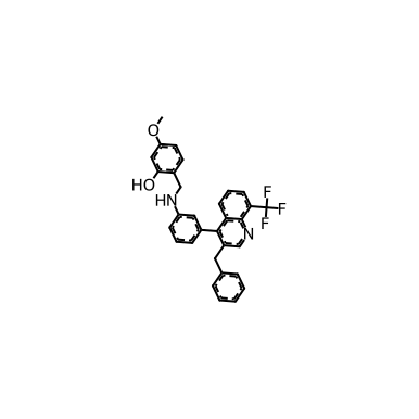 COc1ccc(CNc2cccc(-c3c(Cc4ccccc4)cnc4c(C(F)(F)F)cccc34)c2)c(O)c1